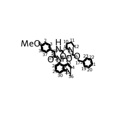 COc1ccc([C@H](NC(=O)[C@@H]2CCCN2C(=O)OCc2ccccc2)C(=O)Nc2cccc3c2ccn3C)cc1